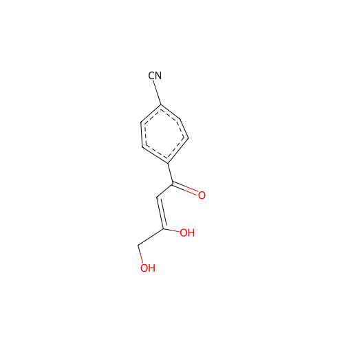 N#Cc1ccc(C(=O)/C=C(\O)CO)cc1